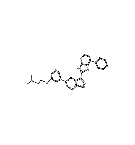 CN(C)CCOc1cncc(-c2ccc3[nH]nc(-c4nc5c(-c6ccccn6)ccnc5[nH]4)c3c2)c1